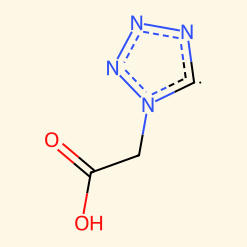 O=C(O)Cn1[c]nnn1